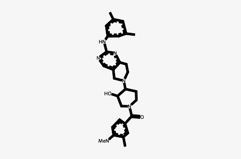 CNc1ccc(C(=O)N2CCC(N3CCc4nc(Nc5cc(C)cc(C)c5)ncc4C3)C(O)C2)cc1C